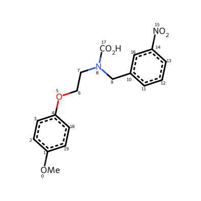 COc1ccc(OCCN(Cc2cccc([N+](=O)[O-])c2)C(=O)O)cc1